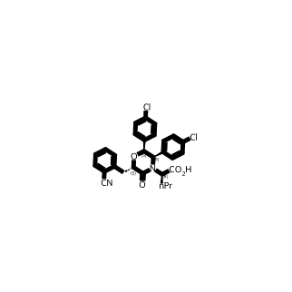 CCC[C@H](C(=O)O)N1C(=O)[C@H](Cc2ccccc2C#N)O[C@@H](c2ccc(Cl)cc2)[C@H]1c1ccc(Cl)cc1